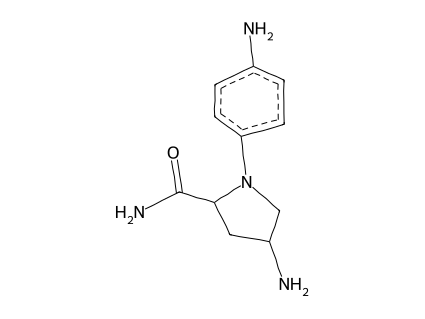 NC(=O)C1CC(N)CN1c1ccc(N)cc1